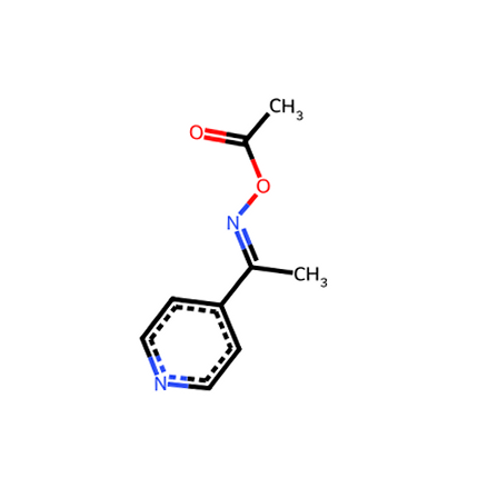 CC(=O)ON=C(C)c1ccncc1